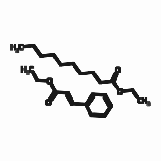 CCCCCCCCCC(=O)OCC.CCOC(=O)C=Cc1ccccc1